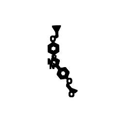 c1cc(-n2cc(-c3ccc(OCC4CO4)cc3)nn2)ccc1OCC1CC1